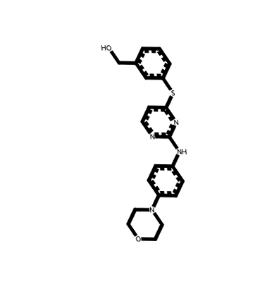 OCc1cccc(Sc2ccnc(Nc3ccc(N4CCOCC4)cc3)n2)c1